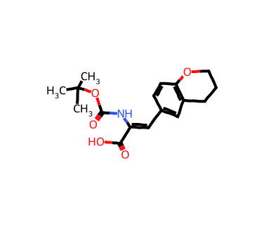 CC(C)(C)OC(=O)N/C(=C\c1ccc2c(c1)CCCO2)C(=O)O